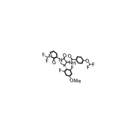 COc1cc(F)c([C@@H]2CN(c3cccn(C(F)F)c3=O)C(=O)[C@H]2NC(=O)c2ccc(OC(F)F)cc2)c(F)c1